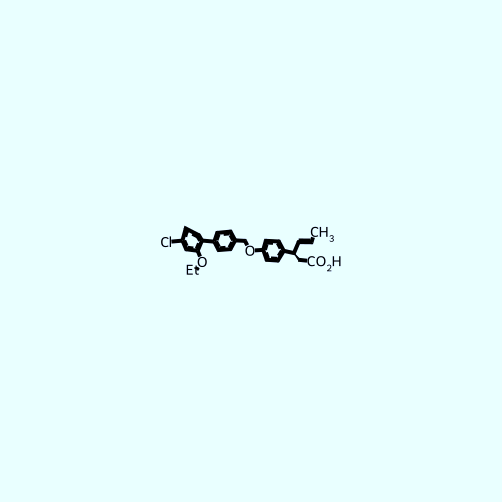 CC=C[C@@H](CC(=O)O)c1ccc(OCc2ccc(-c3ccc(Cl)cc3OCC)cc2)cc1